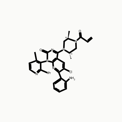 C=CC(=O)N1C[C@H](C)N(c2nc(=O)n(-c3c(C)ccnc3C(C)C)c3nc(-c4ccccc4N)c(Cl)cc23)C[C@H]1C